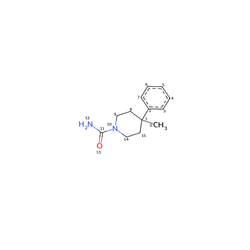 CC1(c2ccccc2)CCN(C(N)=O)CC1